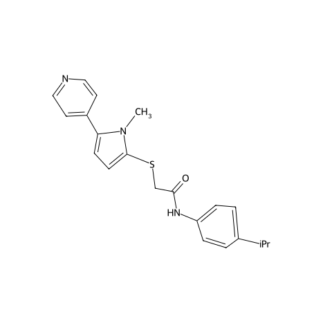 CC(C)c1ccc(NC(=O)CSc2ccc(-c3ccncc3)n2C)cc1